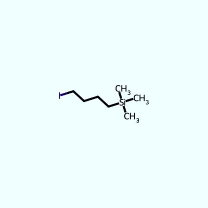 C[Si](C)(C)CCCCI